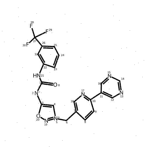 O=C([N-]c1c[n+](Cc2ccc(-c3cncnc3)nc2)no1)Nc1cccc(C(F)(F)F)c1